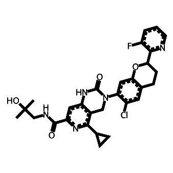 CC(C)(O)CNC(=O)c1cc2c(c(C3CC3)n1)CN(c1cc3c(cc1Cl)CCC(c1ncccc1F)O3)C(=O)N2